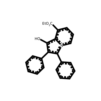 CCOC(=O)c1cccn2c(-c3ccccc3)c(-c3ccccc3)c(O)c12